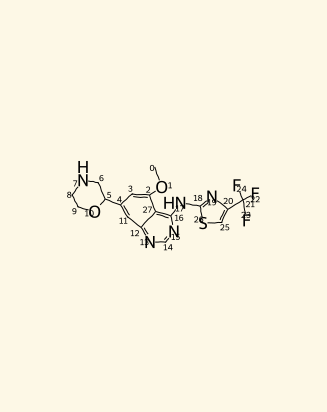 COc1cc(C2CNCCO2)cc2ncnc(Nc3nc(C(F)(F)F)cs3)c12